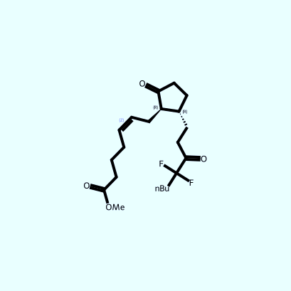 CCCCC(F)(F)C(=O)CC[C@H]1CCC(=O)[C@@H]1C/C=C\CCCC(=O)OC